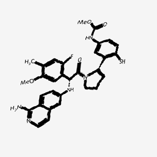 COC(=O)Nc1ccc(S)c([C@H]2CCCN2C(=O)[C@H](Nc2ccc3c(N)nccc3c2)c2cc(OC)c(C)cc2F)c1